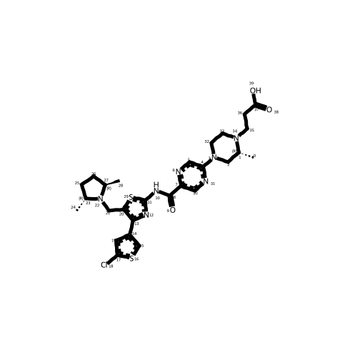 C[C@@H]1CN(c2cnc(C(=O)Nc3nc(-c4csc(Cl)c4)c(CN4[C@H](C)CC[C@H]4C)s3)cn2)CCN1CCC(=O)O